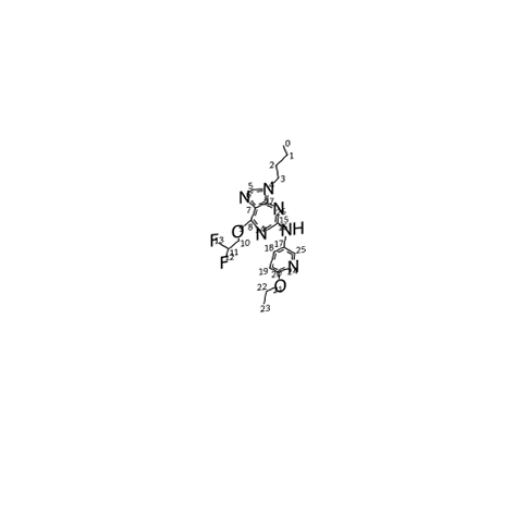 CCCCn1cnc2c(OCC(F)F)nc(Nc3ccc(OCC)nc3)nc21